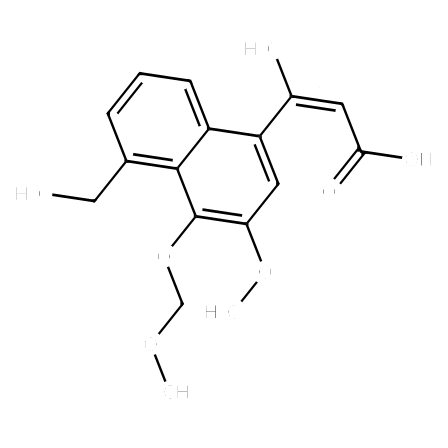 CCc1cccc2c(/C(C)=C\C(=O)O)cc(OC)c(OCOC)c12